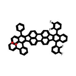 Fc1cccc(-c2c3c(c(-c4cccc(F)c4F)c4ccccc24)-c2ccc4c5ccc6c7c(ccc(c8ccc-3c2c84)c75)-c2c-6c(-c3ccccc3-c3ccccc3)c3ccccc3c2-c2ccccc2)c1F